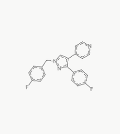 Fc1ccc(Cn2cc(-c3ccncc3)c(-c3ccc(F)cc3)n2)cc1